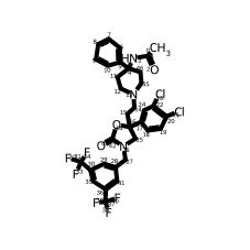 CC(=O)NC1(c2ccccc2)CCN(CCC2(c3ccc(Cl)c(Cl)c3)CN(Cc3cc(C(F)(F)F)cc(C(F)(F)F)c3)C(=O)O2)CC1